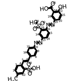 Cc1ccc(/C=C/c2ccc(N=Nc3ccc(N=Nc4ccc(O)c(C(=O)O)c4)c(S(=O)(=O)O)c3)cc2)c(S(=O)(=O)O)c1